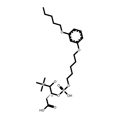 CCCCCOc1cccc(OCCCCCOP(=O)(O)O[C@H](CC(=O)O)C([O-])[N+](C)(C)C)c1